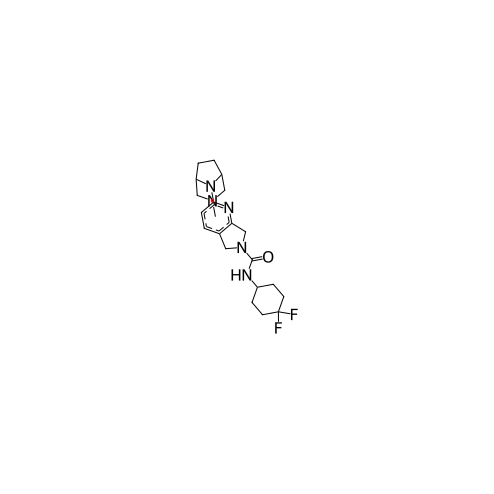 CN1CC2CCC(C1)N2c1ccc2c(n1)CN(C(=O)NC1CCC(F)(F)CC1)C2